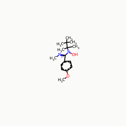 C/N=C(\c1ccc(OC)cc1)N(O)C(C)(C)C(C)(C)C